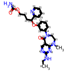 CCNc1ncc2c(n1)N(C)CCN(c1cccc(OC(CCCOC(N)=O)c3ccccn3)c1)C2=O